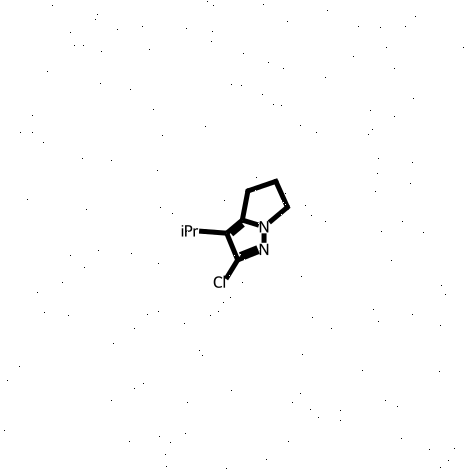 CC(C)c1c(Cl)nn2c1CCC2